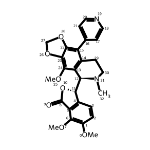 COc1ccc2c(c1OC)C(=O)O[C@@H]2[C@H]1c2c(c(-c3ccncc3)c3c(c2OC)OCO3)CCN1C